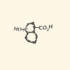 O=C(O)c1cc[n+](O)c2ccccc12